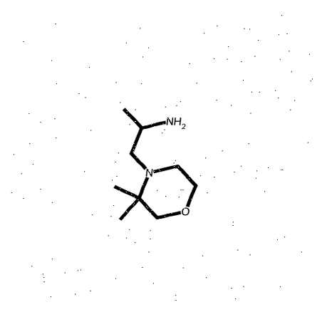 CC(N)CN1CCOCC1(C)C